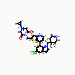 N#CC1(Cn2ccc3cc(Cl)cc(-c4ccnc5cc(CN6C(=O)CN(C7CC7)CC6=O)sc45)c32)CCNCC1